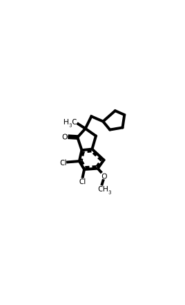 COc1cc2c(c(Cl)c1Cl)C(=O)C(C)(CC1CCCC1)C2